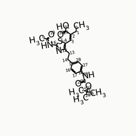 CCC(=Cc1sc(NC(C)=O)nc1CCc1ccc(NC(=O)OC(C)(C)C)cc1)C(=O)O